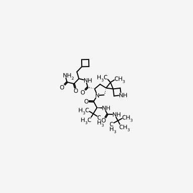 CC(C)(C)NC(=O)N[C@H](C(=O)N1C[C@]2(C[C@H]1C(=O)NC(CC1CCC1)C(=O)C(N)=O)C(C)(C)C21CNC1)C(C)(C)C